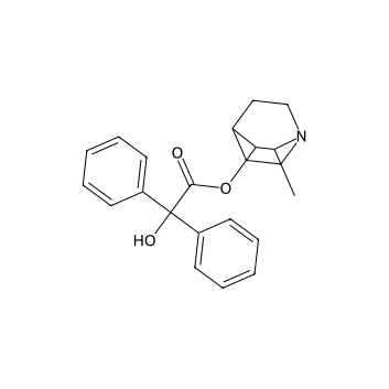 CC1C(OC(=O)C(O)(c2ccccc2)c2ccccc2)C2CCN1CC2